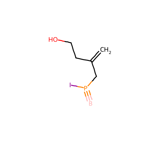 B#P(I)CC(=C)CCO